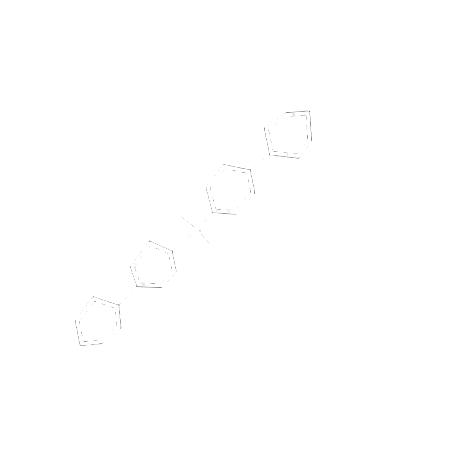 [CH3][Sn]([CH3])([c]1ccc(-c2ccccc2)cc1)[c]1ccc(-c2ccccc2)cc1